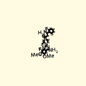 COc1cc2c(N)nc(N3CCN(C(=O)CC(N)c4ccccc4F)CC3C)nc2c(F)c1OC